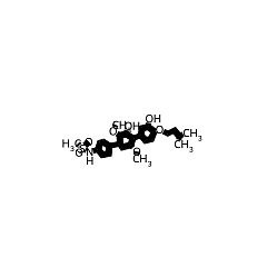 COc1cc(-c2ccc(NS(C)(=O)=O)cc2)c(OC)c(O)c1-c1ccc(OCC=C(C)C)c(O)c1